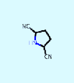 N#CC1CCC(C#N)N1